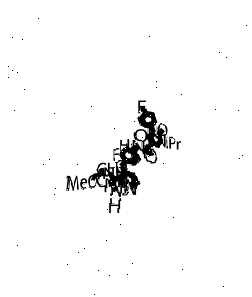 COCC(C)(C)Nc1n[nH]c2nccc(Oc3ccc(NC(=O)c4cn(C(C)C)c(=O)n(-c5ccc(F)cc5)c4=O)cc3F)c12